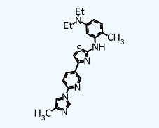 CCN(CC)c1ccc(C)c(Nc2nc(-c3ccc(-n4cnc(C)c4)nc3)cs2)c1